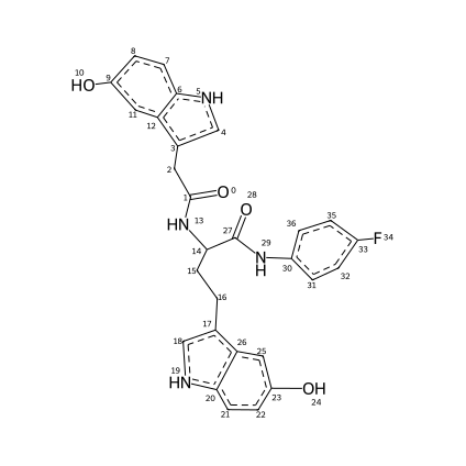 O=C(Cc1c[nH]c2ccc(O)cc12)NC(CCc1c[nH]c2ccc(O)cc12)C(=O)Nc1ccc(F)cc1